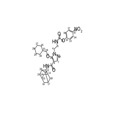 O=C(NCCn1ncc(C(=O)NC2C3CC4CC(C3)CC2C4)c1OCC1CCCCC1)Oc1ccc([N+](=O)[O-])cc1